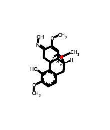 COC1=C[C@H]2[C@H]3Cc4ccc(OC)c(O)c4[C@@]2(CCN3C)CC1=NO